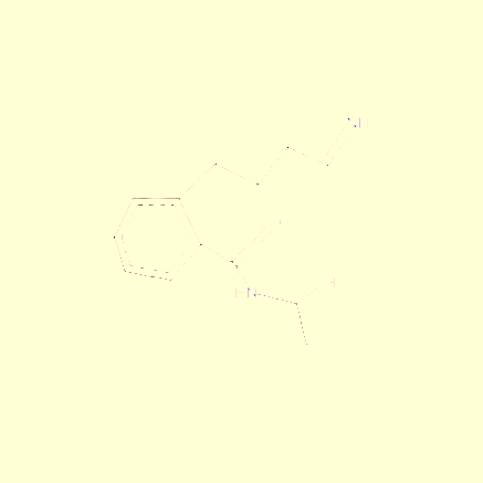 C[C](O)NC(=O)c1ccccc1CCCC=N